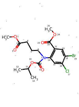 COC(=O)CCCN(C(=O)OC(C)C)c1cc(Cl)c(Br)cc1C(=O)OC